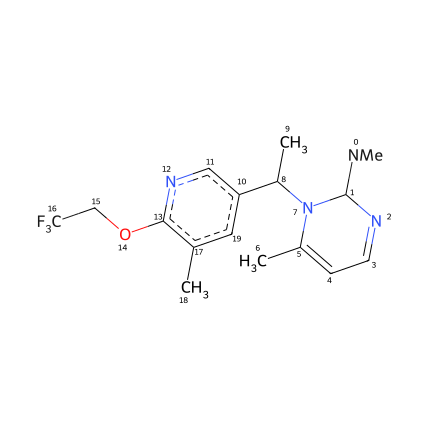 CNC1N=CC=C(C)N1C(C)c1cnc(OCC(F)(F)F)c(C)c1